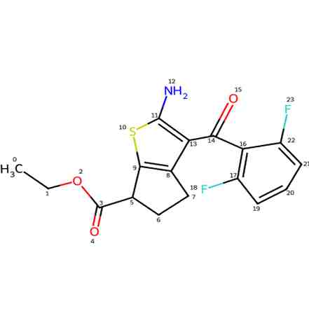 CCOC(=O)C1CCc2c1sc(N)c2C(=O)c1c(F)cccc1F